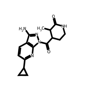 CC1C(=O)NCCC1C(=O)n1nc(N)c2ccc(C3CC3)nc21